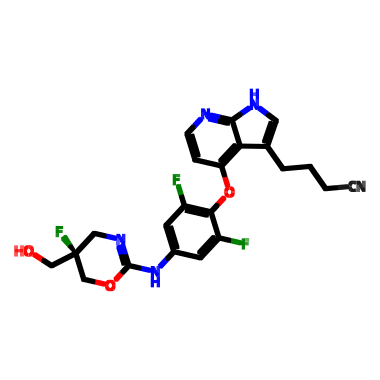 N#CCCCc1c[nH]c2nccc(Oc3c(F)cc(NC4=NC[C@@](F)(CO)CO4)cc3F)c12